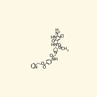 CO[C@@H]1CN(CC(=O)Nc2ccc(C(=O)OCCc3ccccn3)cc2)CC[C@@H]1NC(=O)c1cc(Cl)c(N)[nH]c1=O